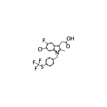 Cc1c(CC(=O)O)c2cc(F)c(Cl)cc2n1Cc1ccc(SC(F)(F)F)cc1